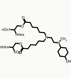 CCCCCCCCC(CCCCCC)COC(=O)CCCCCN(CCCCCC(=O)OCC(CCCCCC)CCCCCCCC)CCN(C)C1CCC(O)CC1